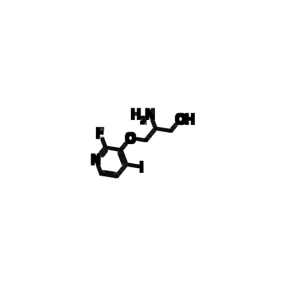 NC(CO)COc1c(I)ccnc1F